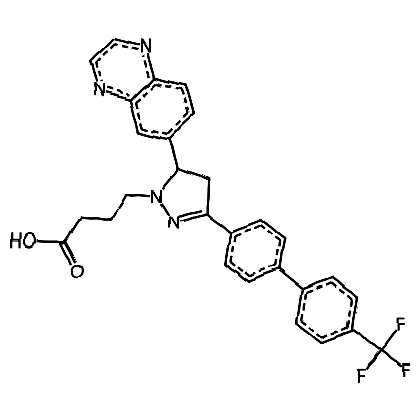 O=C(O)CCCN1N=C(c2ccc(-c3ccc(C(F)(F)F)cc3)cc2)CC1c1ccc2nccnc2c1